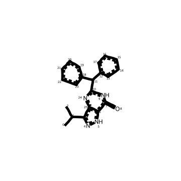 CC(C)c1n[nH]c2c(=O)[nH]c(C(c3ccccc3)c3ccccc3)nc12